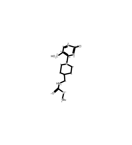 CC(C)(C)OC(=O)NCC1CCN(c2nc(Cl)ncc2C(=O)O)CC1